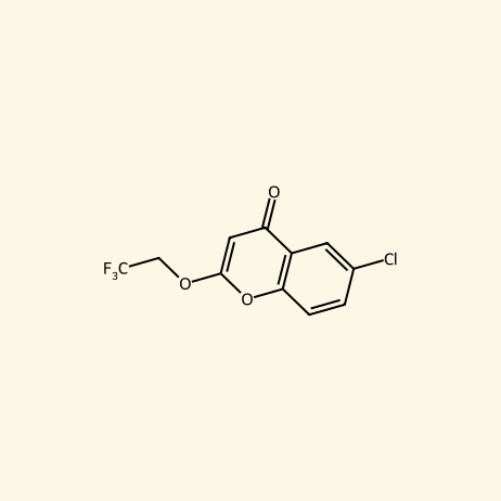 O=c1cc(OCC(F)(F)F)oc2ccc(Cl)cc12